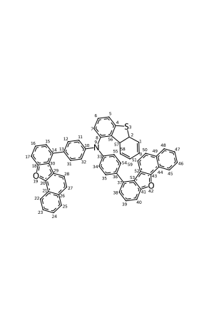 C1=CC2Sc3cccc(N(c4ccc(-c5cccc6oc7c8ccccc8ccc7c56)cc4)c4ccc(-c5cccc6oc7c8ccccc8ccc7c56)cc4)c3C2C=C1